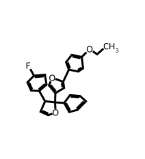 CCOc1ccc(-c2cc(C3(c4ccccc4)OC=CC3c3ccc(F)cc3)co2)cc1